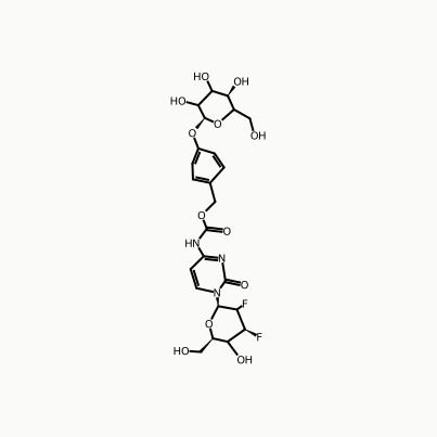 O=C(Nc1ccn([C@@H]2O[C@H](CO)C(O)[C@H](F)C2F)c(=O)n1)OCc1ccc(O[C@@H]2OC(CO)[C@H](O)C(O)C2O)cc1